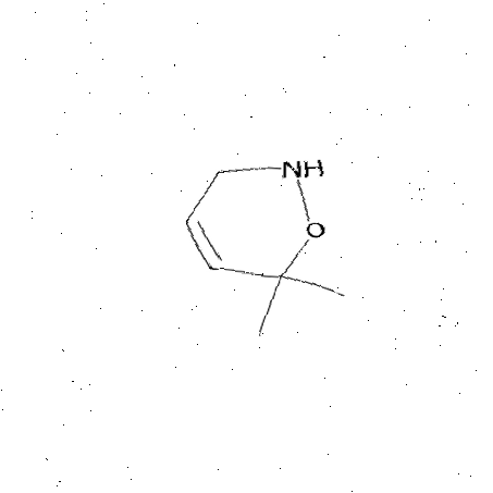 CC1(C)C=CCNO1